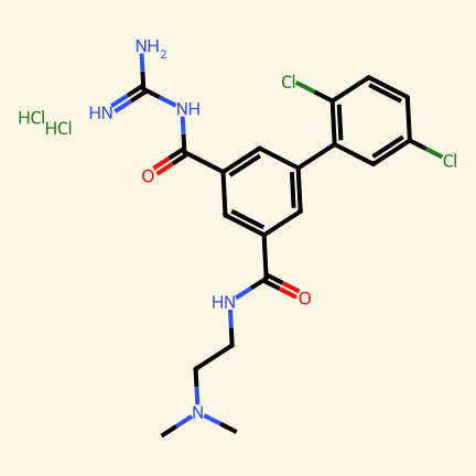 CN(C)CCNC(=O)c1cc(C(=O)NC(=N)N)cc(-c2cc(Cl)ccc2Cl)c1.Cl.Cl